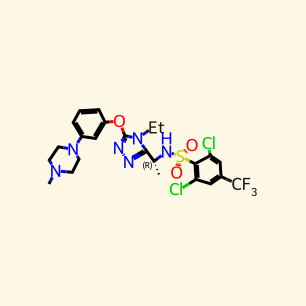 CCn1c(Oc2cccc(N3CCN(C)CC3)c2)nnc1[C@@H](C)NS(=O)(=O)c1c(Cl)cc(C(F)(F)F)cc1Cl